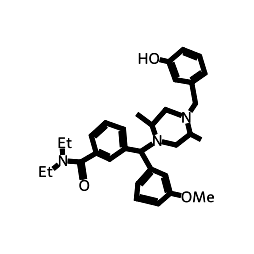 CCN(CC)C(=O)c1cccc(C(c2cccc(OC)c2)N2CC(C)N(Cc3cccc(O)c3)CC2C)c1